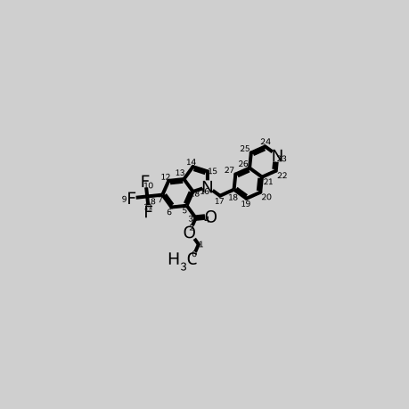 CCOC(=O)c1cc(C(F)(F)F)cc2ccn(Cc3ccc4cnccc4c3)c12